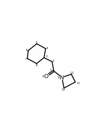 O=C(CC1CCCCC1)N1CCC1